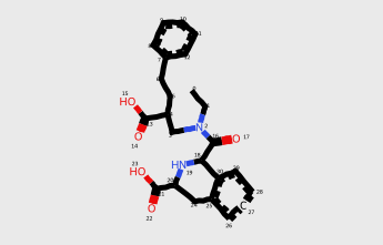 CCN(CC(CCc1ccccc1)C(=O)O)C(=O)C1NC(C(=O)O)Cc2ccccc21